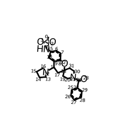 CS(=O)(=O)Nc1ccc2c(c1)C(N1CCCC1)CC1(CCN(C(=O)c3ccccc3)CC1)O2